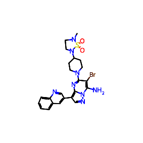 CN1CCN(C2CCN(c3nc4c(-c5cnc6ccccc6c5)cnn4c(N)c3Br)CC2)S1(=O)=O